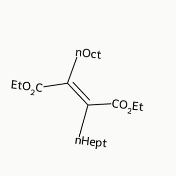 CCCCCCCCC(C(=O)OCC)=C(CCCCCCC)C(=O)OCC